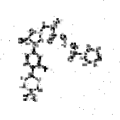 CC(=O)N(C[C@H]1CN(c2ccc(C3CCS(=O)(=O)CC3)c(F)c2)C(=O)O1)C(=O)OCOC(=O)c1ccncc1